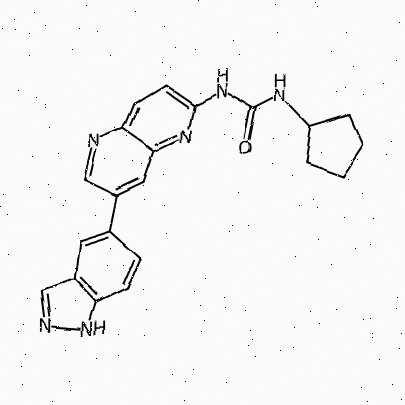 O=C(Nc1ccc2ncc(-c3ccc4[nH]ncc4c3)cc2n1)NC1CCCC1